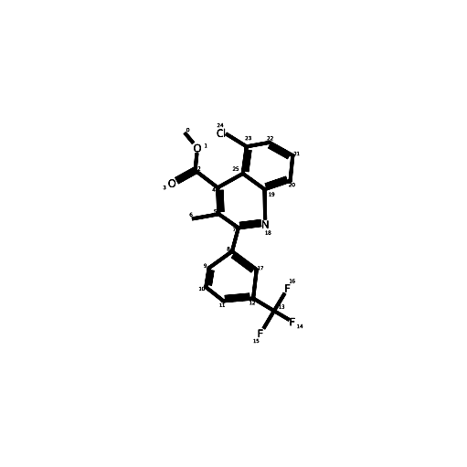 COC(=O)c1c(C)c(-c2cccc(C(F)(F)F)c2)nc2cccc(Cl)c12